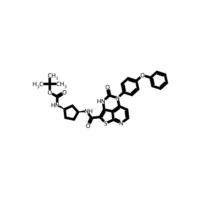 CC(C)(C)OC(=O)N[C@@H]1CC[C@H](NC(=O)c2sc3nccc4c3c2NC(=O)N4c2ccc(Oc3ccccc3)cc2)C1